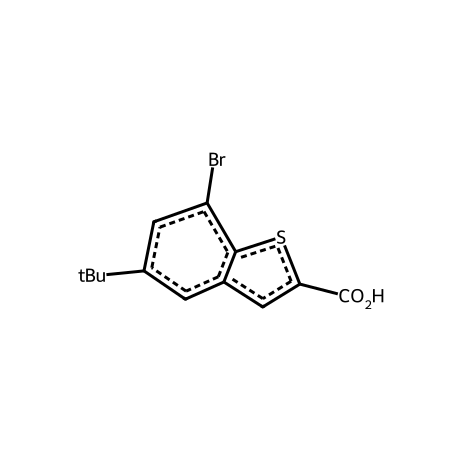 CC(C)(C)c1cc(Br)c2sc(C(=O)O)cc2c1